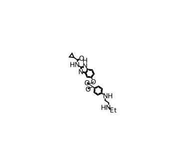 CCNCCNc1ccc(S(=O)(=O)Oc2ccc3[nH]c(NC(=O)C4CC4)nc3c2)cc1